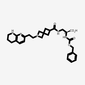 O=C(N[C@@H](CNC(=O)C1CC2(C1)CN(CCc1ccc3c(n1)NCCC3)C2)C(=O)O)OCc1ccccc1